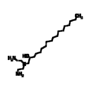 CCCCCCCCCCCCCCCCC(O)CN(CCN)CCN